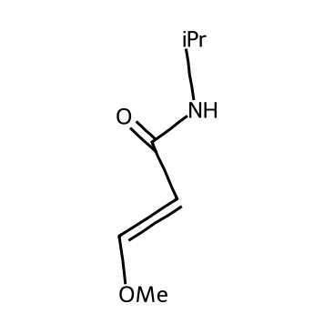 COC=CC(=O)NC(C)C